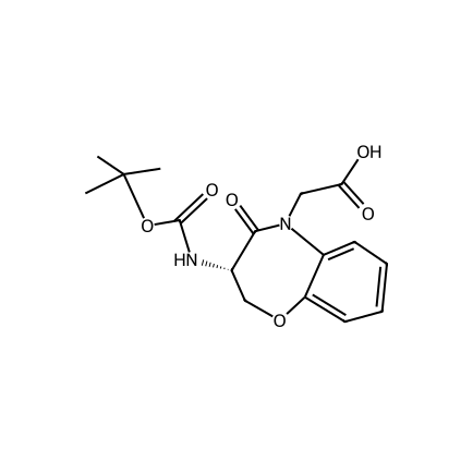 CC(C)(C)OC(=O)N[C@H]1COc2ccccc2N(CC(=O)O)C1=O